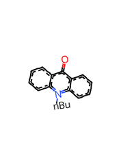 CCCCn1c2ccccc2c(=O)c2ccccc21